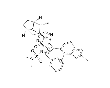 CN(C)S(=O)(=O)n1cc(-c2ccc3nn(C)cc3c2Cl)c2ncc(N3[C@@H]4CC[C@H]3[C@H](F)[C@@H](NC(=O)OCc3ccccc3)C4)nc21